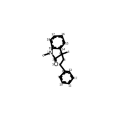 CN1C(=O)C(C)(CCc2ccccc2)c2ccccc21